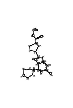 CC(C)(C)OC(=O)N1CCC(c2cc3nc(Cl)nc(N4CCOCC4)c3o2)C1